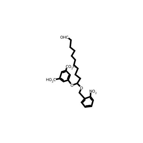 O=CCCCCCCCCCC(OCc1ccccc1[N+](=O)[O-])Oc1cc(C(=O)O)cc(C(=O)O)c1